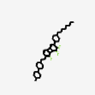 CCCCCCCCC1CCC(c2cc3c(c(F)c2F)-c2c-3ccc(CCC3CCC(C4CCC(C)CC4)CC3)c2F)CC1